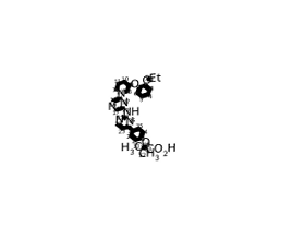 CCOc1ccccc1O[C@@H]1CCCN(c2cncc(Nc3nccc(-c4ccc(OC(C)(C)C(=O)O)cc4)n3)n2)C1